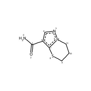 NC(=O)c1cnn2c1SCCC2